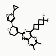 Cc1nc2nc(C3=C[C@H](c4cnn(C5CC5)c4)OCC3)nc(C3CC4(C3)CC(F)(F)C4)c2nc1C